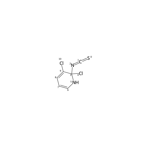 S=C=NC1(Cl)NC=CC=C1Cl